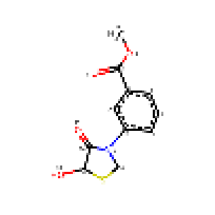 COC(=O)c1cccc(N2CSC(O)C2=O)c1